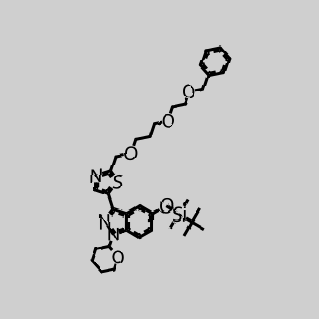 CC(C)(C)[Si](C)(C)Oc1ccc2c(c1)c(-c1cnc(COCCCOCCOCc3ccccc3)s1)nn2C1CCCCO1